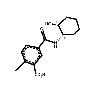 Cc1ccc(C(=O)N[C@H]2CCCC[C@@H]2O)cc1C(=O)O